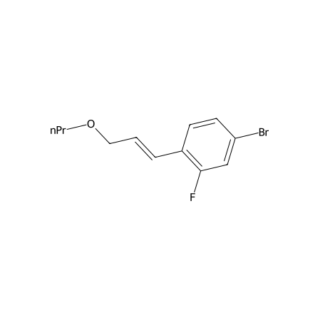 [CH2]CCOCC=Cc1ccc(Br)cc1F